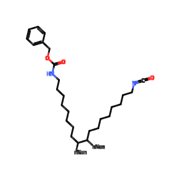 CCCCCCCCCC(CCCCCCCCN=C=O)C(CCCCCCCCC)CCCCCCCCNC(=O)OCc1ccccc1